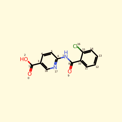 O=C(O)c1ccc(NC(=O)c2ccccc2Cl)nc1